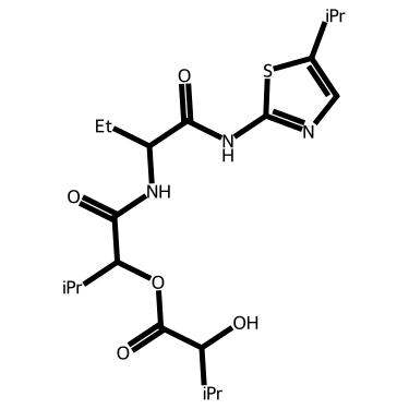 CCC(NC(=O)C(OC(=O)C(O)C(C)C)C(C)C)C(=O)Nc1ncc(C(C)C)s1